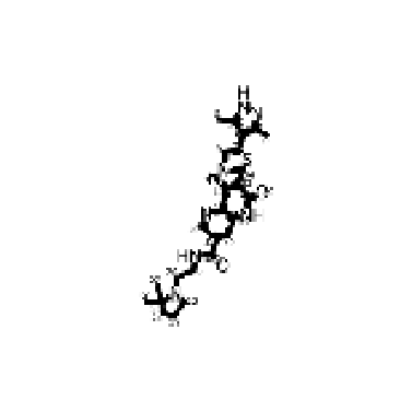 Cc1n[nH]c(C)c1-c1cn2nc3c4ncc(C(=O)NCCN5CCCC5(C)C)cc4[nH]c(=O)c3c2s1